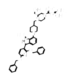 Cn1nc(-c2ccc(OCc3ccccc3)nc2OCc2ccccc2)c2cccc(N3CCC(CN4CCN(C(=O)OC(C)(C)C)C[C@@H]4CO)CC3)c21